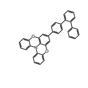 c1ccc(-c2ccccc2-c2ccc(-c3cc4c5c(c3)Oc3ccccc3N5c3ccccc3O4)cc2)cc1